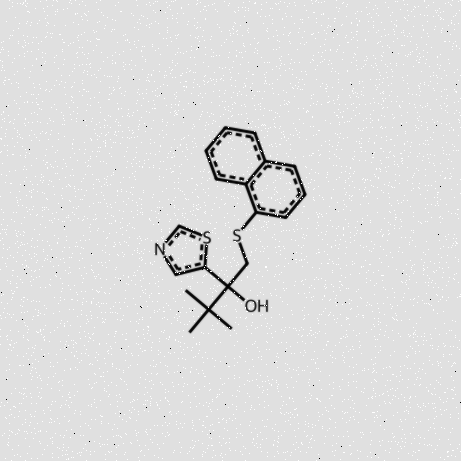 CC(C)(C)C(O)(CSc1cccc2ccccc12)c1cncs1